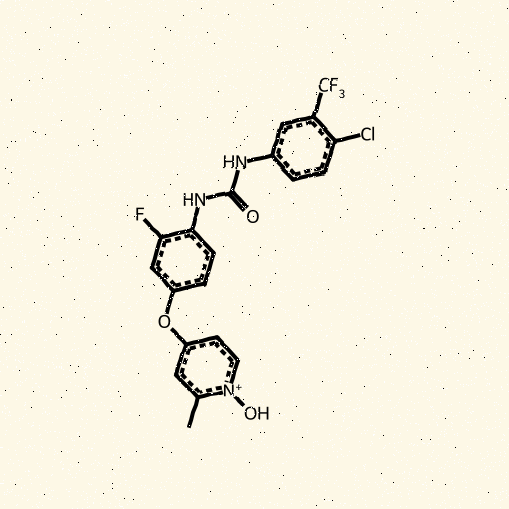 Cc1cc(Oc2ccc(NC(=O)Nc3ccc(Cl)c(C(F)(F)F)c3)c(F)c2)cc[n+]1O